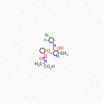 Cc1ncc(COc2ccccc2O/[P+]([O-])=N/C(C)C(=O)O)c(/C=N/c2ccc(Br)c(F)c2)c1O